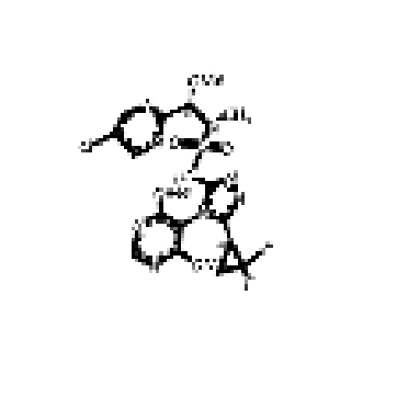 COc1ncnc(OC)c1-n1c(NS(=O)(=O)[C@@H](C)[C@H](OC)c2ncc(Cl)cn2)nnc1[C@@H]1CC1(F)F